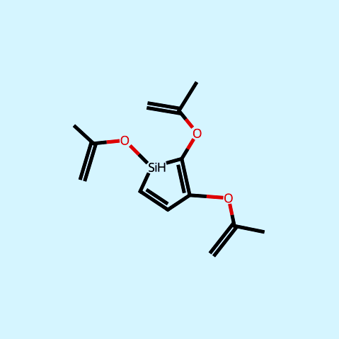 C=C(C)OC1=C(OC(=C)C)[SiH](OC(=C)C)C=C1